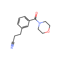 N#CCCc1cccc(C(=O)N2CCOCC2)c1